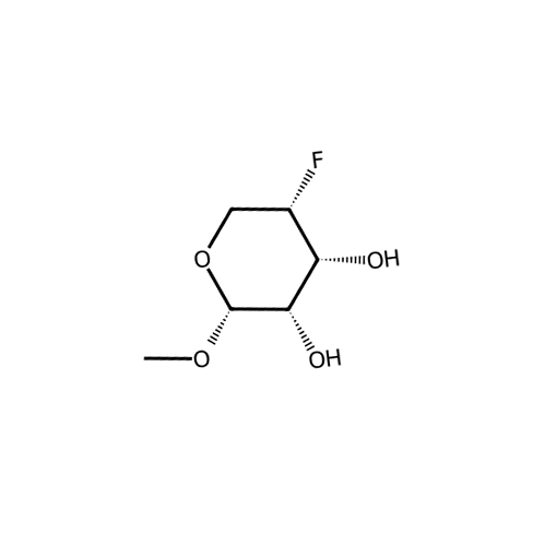 CO[C@@H]1OC[C@H](F)[C@H](O)[C@@H]1O